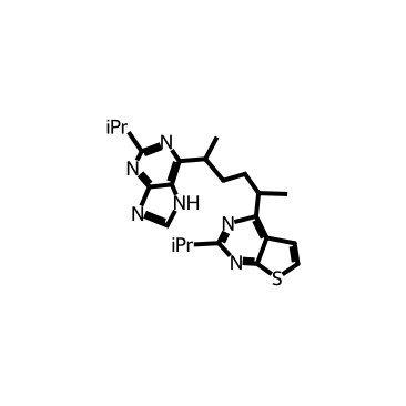 CC(C)c1nc(C(C)CCC(C)c2nc(C(C)C)nc3sccc23)c2[nH]cnc2n1